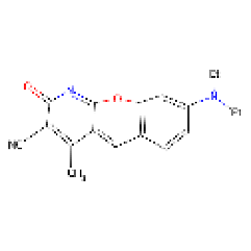 CCN(CC)c1ccc2cc3c(C)c(C#N)c(=O)nc-3oc2c1